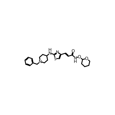 O=C(C=Cc1csc(NC2CCN(Cc3ccccc3)CC2)n1)NOC1CCCCO1